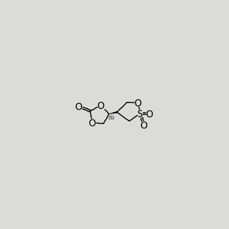 O=C1OC[C@H](C2COS(=O)(=O)C2)O1